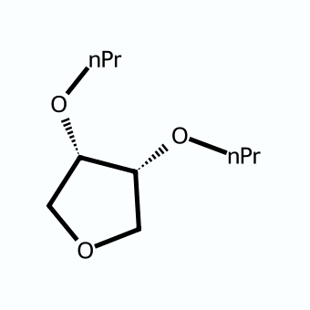 CCCO[C@H]1COC[C@H]1OCCC